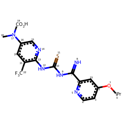 CC(C)Oc1ccnc(C(=N)NC(=S)Nc2ncc(N(C)C(=O)O)cc2C(F)(F)F)c1